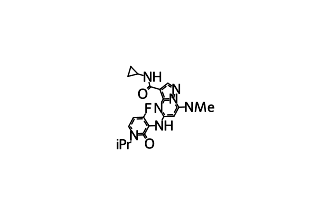 CNc1cc(Nc2c(F)ccn(C(C)C)c2=O)nc2c(C(=O)NC3CC3)cnn12